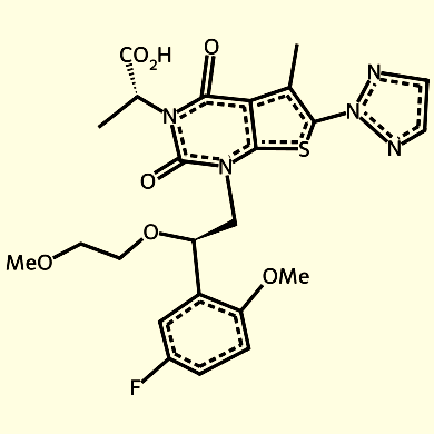 COCCO[C@@H](Cn1c(=O)n([C@H](C)C(=O)O)c(=O)c2c(C)c(-n3nccn3)sc21)c1cc(F)ccc1OC